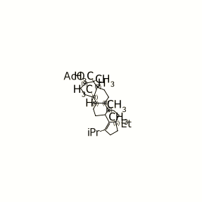 CC[C@]12CCC(C(C)C)=C1C1CC[C@@H]3[C@@]4(C)CC[C@H](OC(C)=O)C(C)(C)[C@@H]4CC[C@@]3(C)[C@]1(C)CC2